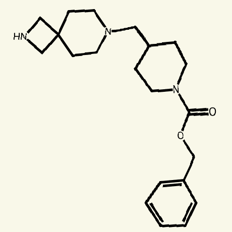 O=C(OCc1ccccc1)N1CCC(CN2CCC3(CC2)CNC3)CC1